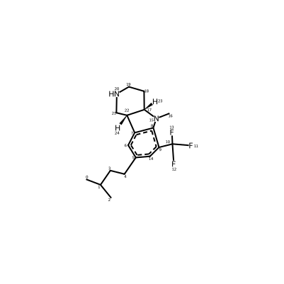 CC(C)CCc1cc2c(c(C(F)(F)F)c1)N(C)[C@H]1CCNC[C@@H]21